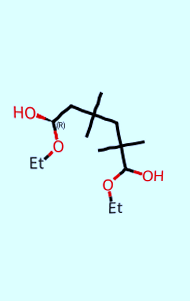 CCOC(O)C(C)(C)CC(C)(C)C[C@H](O)OCC